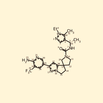 CCn1ncc([C@H](C)NC(=O)N2CCC3(CCn4nc(-c5cnc(N)c(C(F)(F)F)c5)cc43)C2)c1C